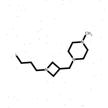 CN1CCN(CC2CN(CCCI)C2)CC1